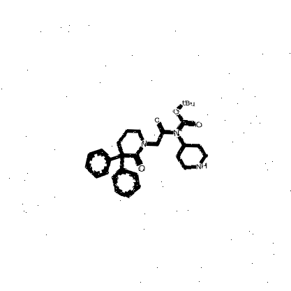 CC(C)(C)OC(=O)N(C(=O)CN1CCCC(c2ccccc2)(c2ccccc2)C1=O)C1CCNCC1